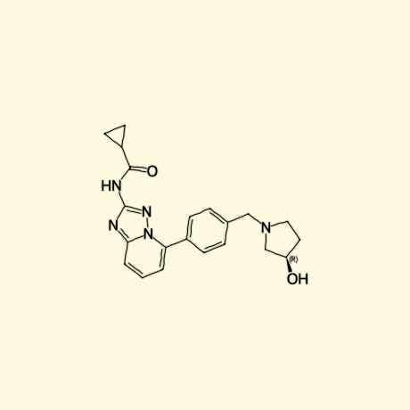 O=C(Nc1nc2cccc(-c3ccc(CN4CC[C@@H](O)C4)cc3)n2n1)C1CC1